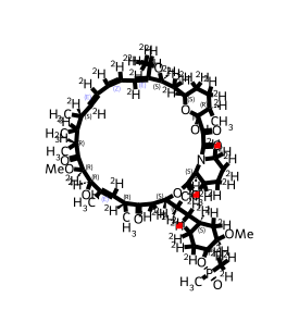 [2H]C1=C([2H])/C([2H])=C(\C([2H])([2H])[2H])[C@@]([2H])(OC([2H])([2H])[2H])C([2H])([2H])[C@@]2([2H])O[C@@](O)(C(=O)C(=O)N3C([2H])([2H])C([2H])([2H])C([2H])([2H])C([2H])([2H])[C@@]3([2H])C(=O)O[C@]([2H])([C@]([2H])(C)C([2H])([2H])[C@]3([2H])C([2H])([2H])C([2H])([2H])[C@@]([2H])(OP(C)(=O)C([2H])([2H])[2H])[C@]([2H])(OC)C3([2H])[2H])C([2H])([2H])C(=O)[C@]([2H])(C)/C([2H])=C(\C)[C@@]([2H])(O)[C@@]([2H])(OC)C(=O)[C@]([2H])(C)C([2H])(C)[C@]([2H])(C)\C([2H])=C\1[2H])[C@]([2H])(C)C([2H])([2H])C2([2H])[2H]